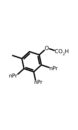 CCCc1c(C)cc(OC(=O)O)c(CCC)c1CCC